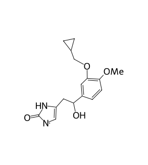 COc1ccc(C(O)CC2=C[N]C(=O)N2)cc1OCC1CC1